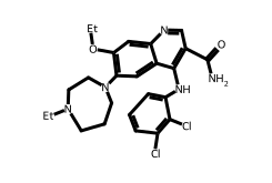 CCOc1cc2ncc(C(N)=O)c(Nc3cccc(Cl)c3Cl)c2cc1N1CCCN(CC)CC1